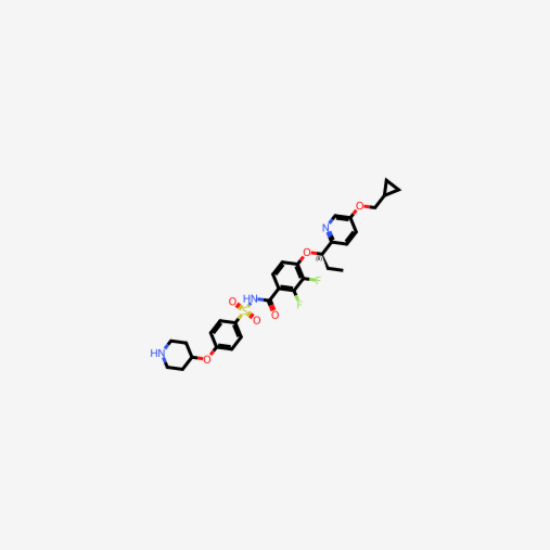 CC[C@@H](Oc1ccc(C(=O)NS(=O)(=O)c2ccc(OC3CCNCC3)cc2)c(F)c1F)c1ccc(OCC2CC2)cn1